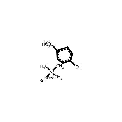 CCCCCCCCCC[N+](C)(C)C.O.O=C(O)c1ccc(O)cc1.[Br-]